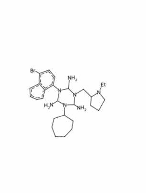 CCN1CCCC1CN1C(N)N(c2ccc(Br)c3ccccc23)C(N)N(C2CCCCCC2)C1N